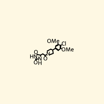 COc1cc(C2CCN(C(=O)CC3NC(=O)NC3=O)CC2)cc(OC)c1Cl